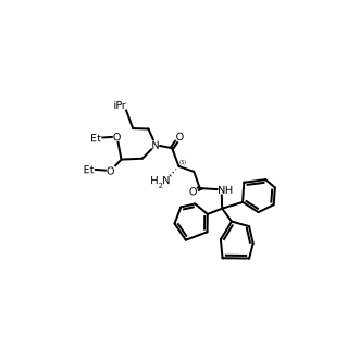 CCOC(CN(CCC(C)C)C(=O)[C@@H](N)CC(=O)NC(c1ccccc1)(c1ccccc1)c1ccccc1)OCC